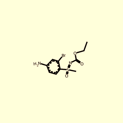 CCOC(=O)N=S(C)(=O)c1ccc(N)cc1Br